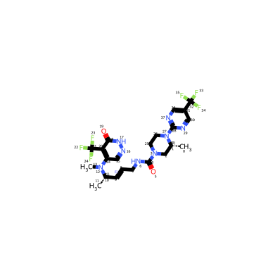 C[C@@H]1CN(C(=O)NC/C=C/[C@H](C)N(C)c2cn[nH]c(=O)c2C(F)(F)F)CCN1c1ncc(C(F)(F)F)cn1